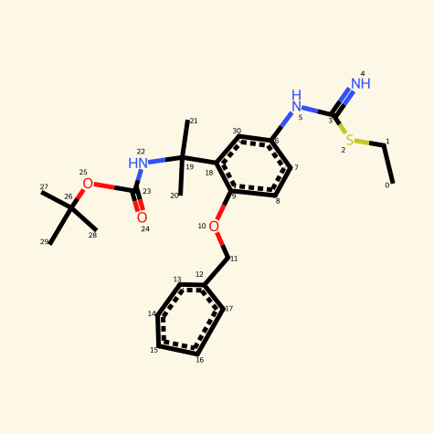 CCSC(=N)Nc1ccc(OCc2ccccc2)c(C(C)(C)NC(=O)OC(C)(C)C)c1